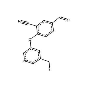 N#Cc1cc(C=O)ccc1Oc1cncc(CF)c1